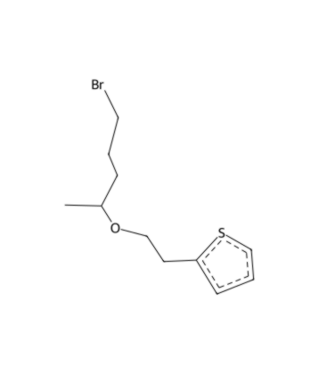 CC(CCCBr)OCCc1cccs1